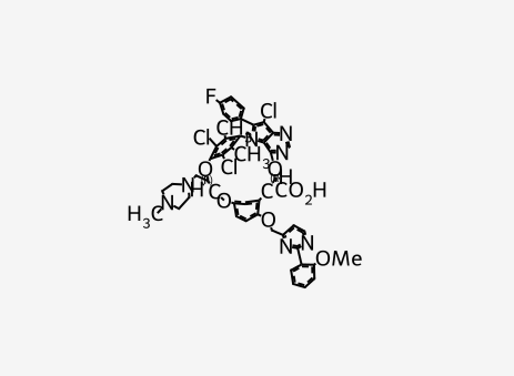 COc1ccccc1-c1nccc(COc2ccc3cc2C[C@H](C(=O)O)Oc2ncnc4c(Cl)c(-c5ccc(F)cc5)n(c24)-c2c(C)c(Cl)c(c(Cl)c2C)O[C@H](CN2CCN(C)CC2)CO3)n1